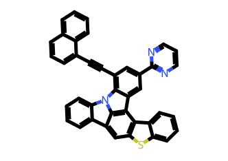 C(#Cc1cc(-c2ncccn2)cc2c3c4c(cc5c6ccccc6n(c12)c53)sc1ccccc14)c1cccc2ccccc12